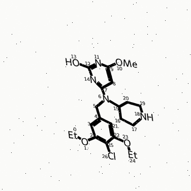 CCOc1cc(CN(c2cc(OC)nc(O)n2)C2CCNCC2)cc(OCC)c1Cl